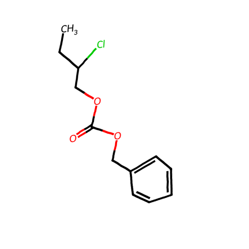 CCC(Cl)COC(=O)OCc1ccccc1